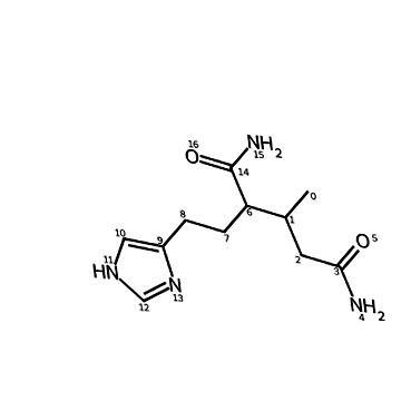 CC(CC(N)=O)C(CCc1c[nH]cn1)C(N)=O